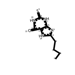 CCCCc1nc2[nH]c(=S)[nH]c(=O)c2[nH]1